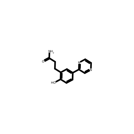 NC(=O)CCc1cc(-c2cnccn2)ccc1O